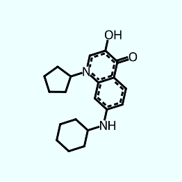 O=c1c(O)cn(C2CCCC2)c2cc(NC3CCCCC3)ccc12